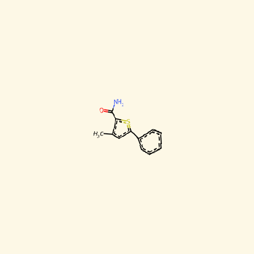 Cc1cc(-c2ccccc2)sc1C(N)=O